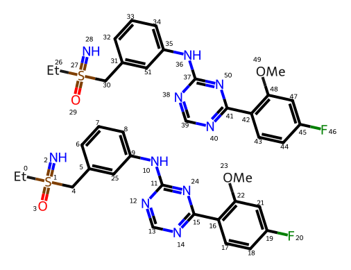 CCS(=N)(=O)Cc1cccc(Nc2ncnc(-c3ccc(F)cc3OC)n2)c1.CCS(=N)(=O)Cc1cccc(Nc2ncnc(-c3ccc(F)cc3OC)n2)c1